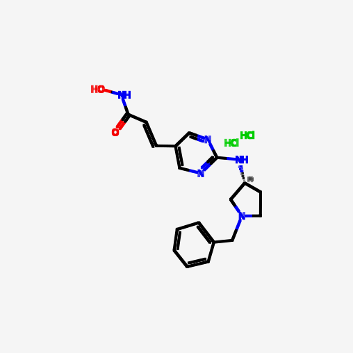 Cl.Cl.O=C(C=Cc1cnc(N[C@@H]2CCN(Cc3ccccc3)C2)nc1)NO